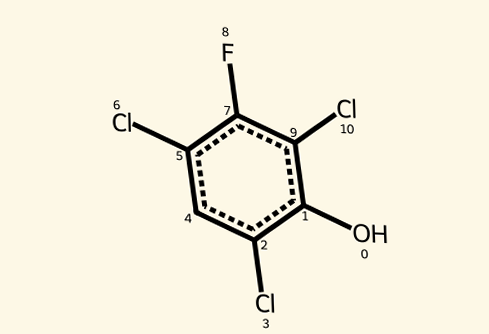 Oc1c(Cl)cc(Cl)c(F)c1Cl